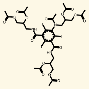 CC(=O)OCC(CNC(=O)c1c(I)c(C(=O)NCC(COC(C)=O)OC(C)=O)c(I)c(N(CC(COC(C)=O)OC(C)=O)C(C)=O)c1I)OC(C)=O